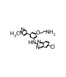 Cn1cc(-c2cc(Nc3ncc4cc(Cl)ccc4n3)cc(OCCN)c2)cn1